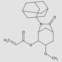 C=CC(=O)OC1C(OC)CC2CC1N(C13CC4CC(CC(C4)C1)C3)C2=O